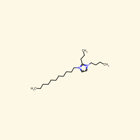 CCCCCCCCCCCn1cc[n+](CCCC)c1CCC